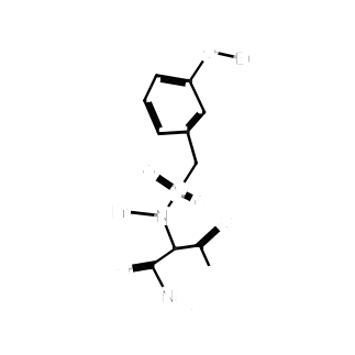 CCCN(C(C(N)=O)C(=O)CC)S(=O)(=O)Cc1cccc(OCC)c1